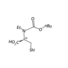 CCCCOC(=O)N(CC)[C@@H](CS)C(=O)O